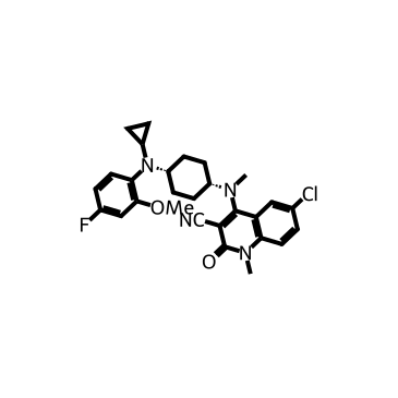 COc1cc(F)ccc1N(C1CC1)[C@H]1CC[C@@H](N(C)c2c(C#N)c(=O)n(C)c3ccc(Cl)cc23)CC1